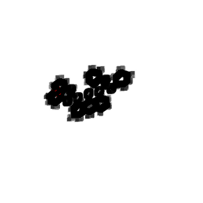 O=C1c2c(cccc2OP(Oc2ccccc2)Oc2ccccc2)Cc2cccc(OP(Oc3ccccc3)Oc3ccccc3)c21